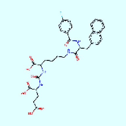 O=C(O)CCC(NC(=O)NC(CCCCNC(=O)C(Cc1ccc2ccccc2c1)NC(=O)c1ccc(F)cc1)C(=O)O)C(=O)O